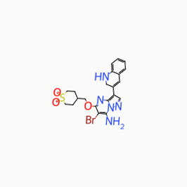 Nc1c(Br)c(OCC2CCS(=O)(=O)CC2)nc2c(C3=Cc4ccccc4NC3)cnn12